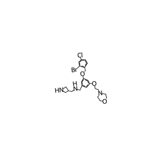 Clc1ccc(COc2cc(CNCC3CNC3)cc(OCCN3CCOCC3)c2)c(Br)c1